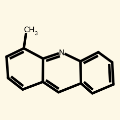 Cc1cccc2cc3ccccc3nc12